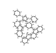 c1ccc(-c2nc(-c3ccccc3)n(-c3cccc4c5ccccc5n(-c5cccc(-n6c7ccccc7c7ccc8c9ccccc9oc8c76)c5)c34)n2)cc1